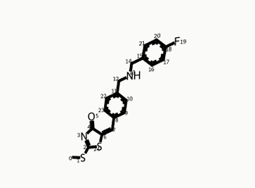 CSC1=NC(=O)/C(=C\c2ccc(CNCc3ccc(F)cc3)cc2)S1